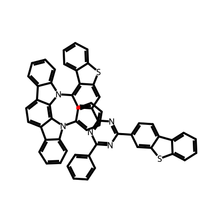 c1ccc(-c2nc(-c3ccc4c(c3)sc3ccccc34)nc(-c3cc(-n4c5ccccc5c5ccc6c7ccccc7n(-c7ccccc7)c6c54)c4c(c3)sc3ccccc34)n2)cc1